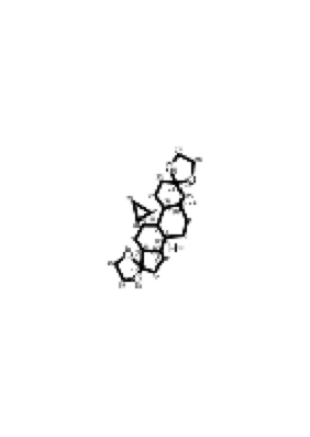 C[C@]12CC[C@@H]3C(CC[C@@]4(C)C3CCC43OCCO3)[C@@]1(C1CC1)CCC1(C2)OCCO1